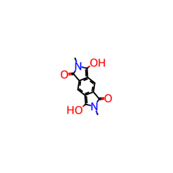 CN1C(=O)c2cc3c(cc2=C1O)C(=O)N(C)C=3O